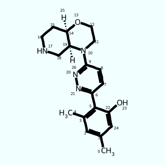 Cc1cc(C)c(-c2ccc(N3CCO[C@@H]4CCNC[C@@H]43)nn2)c(O)c1